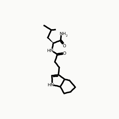 CC(C)C[C@H](NC(=O)CCC1=CNC2CCCCC12)C(N)=O